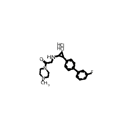 CN1CCN(C(=O)CNC2CC2c2ccc(-c3cccc(F)c3)cc2)CC1.Cl.Cl